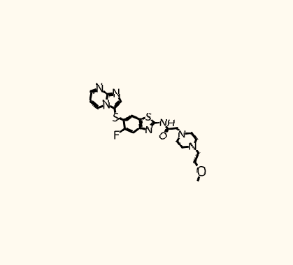 COCCN1CCN(CC(=O)Nc2nc3cc(F)c(Sc4cnc5ncccn45)cc3s2)CC1